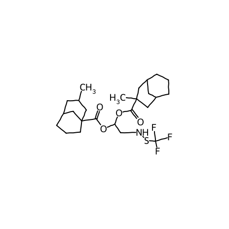 CC1CC2CCCC(C(=O)OC(CNSC(F)(F)F)OC(=O)C3(C)CC4CCCC(C4)C3)(C1)C2